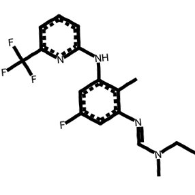 CCN(C)C=Nc1cc(F)cc(Nc2cccc(C(F)(F)F)n2)c1C